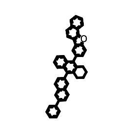 c1ccc(-c2ccc3cc(-c4c5c(c(-c6ccc7oc8c9ccccc9ccc8c7c6)c6ccccc46)CCCC5)ccc3c2)cc1